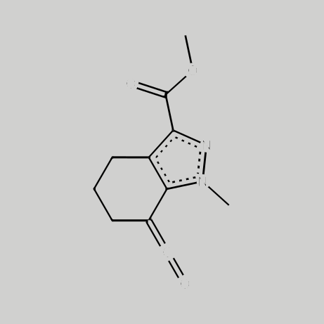 COC(=O)c1nn(C)c2c1CCCC2=C=O